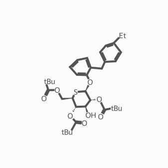 CCc1ccc(Cc2ccccc2O[C@@H]2S[C@H](COC(=O)C(C)(C)C)[C@@H](OC(=O)C(C)(C)C)[C@H](O)[C@H]2OC(=O)C(C)(C)C)cc1